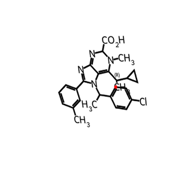 Cc1cccc(-c2nc3c(n2C(C)c2ccc(Cl)cc2)=C([C@H](C)C2CC2)N(C)C(C(=O)O)N=3)c1